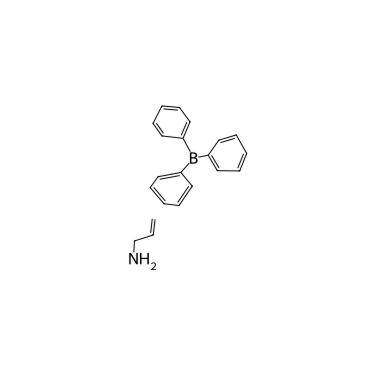 C=CCN.c1ccc(B(c2ccccc2)c2ccccc2)cc1